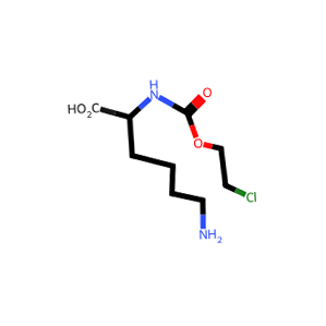 NCCCCC(NC(=O)OCCCl)C(=O)O